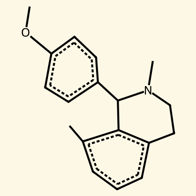 COc1ccc(C2c3c(C)cccc3CCN2C)cc1